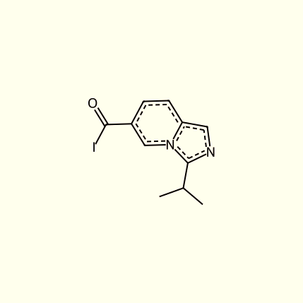 CC(C)c1ncc2ccc(C(=O)I)cn12